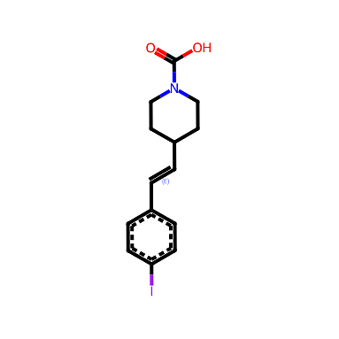 O=C(O)N1CCC(/C=C/c2ccc(I)cc2)CC1